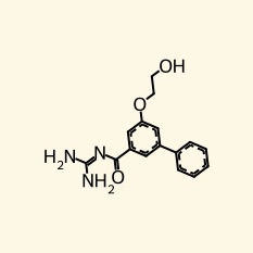 NC(N)=NC(=O)c1cc(OCCO)cc(-c2ccccc2)c1